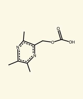 Cc1nc(C)c(COC(=O)O)nc1C